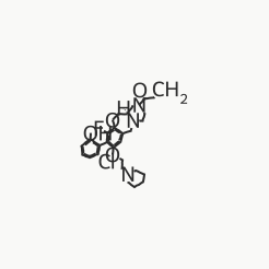 C=CC(=O)N1CCN2Cc3cc(OCCN4CCCCC4)c(-c4c(O)cccc4Cl)c(F)c3OC[C@H]2C1